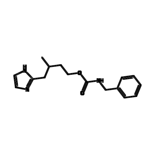 CC(CCOC(=O)NCc1ccccc1)Cc1ncc[nH]1